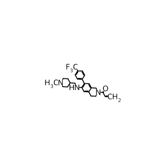 C=CC(=O)N1CCc2cc(NCC3CCN(C)CC3)c(-c3ccc(C(F)(F)F)cc3)cc2C1